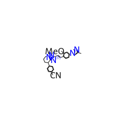 COc1cc(-n2cnc(C)c2)ccc1/C=C/c1nc2n(n1)CCCC2c1ccc(C#N)cc1